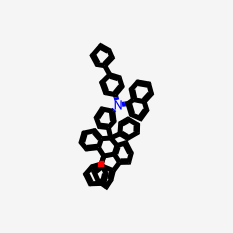 c1ccc(-c2ccc(N(c3cccc(C4(c5ccccc5)c5ccccc5C5(c6ccccc6)c6ccccc6-c6cccc4c65)c3)c3cccc4ccccc34)cc2)cc1